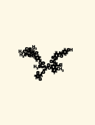 Cc1cccc2c(OC(=O)N(CCOCCN3C(=O)C=CC3=O)CCN(C)C(=O)OCc3ccc(NC(=O)[C@H](C)NC(=O)[C@H](C(C)C)N(C)C)cc3)cc3c(c12)[C@H](CCl)CN3C(=O)c1cn2cc(NC(=O)c3ccc(O)cc3)ccc2n1